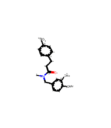 COc1ccc(CN(C)C(=O)CCc2ccc([N+](=O)[O-])cc2)cc1OC